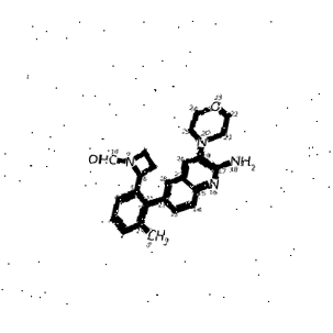 Cc1cccc(C2CCN2C=O)c1-c1ccc2nc(N)c(N3CCOCC3)cc2c1